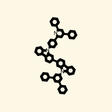 c1ccc(-c2cc(-c3ccccc3)cc(-n3c4ccccc4c4ccc(-c5ccc6c7ccccc7n(-c7ccc(-c8cc(-c9ccccc9)cc(-c9ccccc9)n8)cc7)c6c5)cc43)c2)cc1